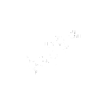 Nc1ncc(-c2cn[nH]c2)c2occ(-c3ccc4c(c3)CCN4C(=O)Cc3cc(F)ccc3F)c12